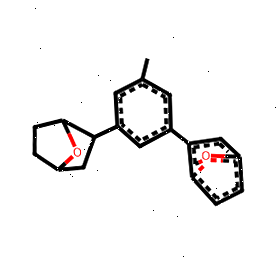 Cc1cc(-c2cc3ccc2o3)cc(C2CC3CCC2O3)c1